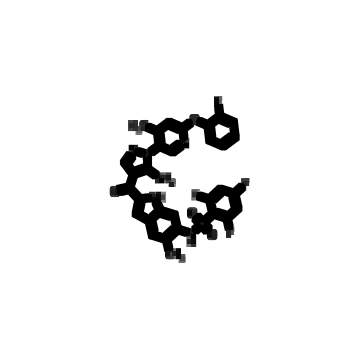 Cc1cc2cc(C(=O)c3cnn(-c4cnc(Oc5ccccc5F)cc4C)c3N)[nH]c2cc1NS(=O)(=O)c1c(F)cc(F)cc1F